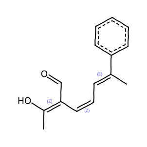 C\C(O)=C(C=O)/C=C\C=C(/C)c1ccccc1